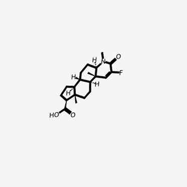 CN1C(=O)C(F)=C[C@]2(C)[C@H]3CC[C@]4(C)[C@@H](C(=O)O)CC[C@H]4[C@@H]3CC[C@@H]12